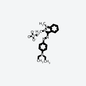 CCN(CC)c1ccc(N=Nc2c3ccccc3[n+](C)n2C)cc1.[O-][Cl+3]([O-])([O-])[O-]